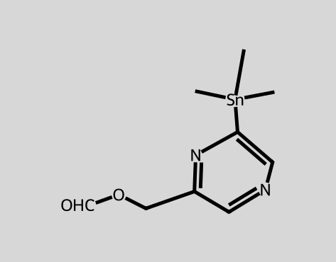 [CH3][Sn]([CH3])([CH3])[c]1cncc(COC=O)n1